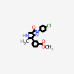 COC(=O)c1cccc(-c2c3nn(-c4ccc(Cl)cc4)c(=O)c-3c[nH]c2C)c1